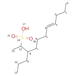 CCCC=CCCCC(CCC)C(C)S(=O)(=O)O